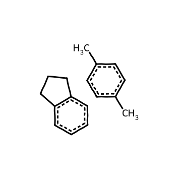 Cc1ccc(C)cc1.c1ccc2c(c1)CCC2